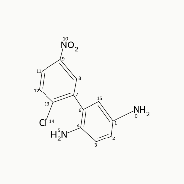 Nc1ccc(N)c(-c2cc([N+](=O)[O-])ccc2Cl)c1